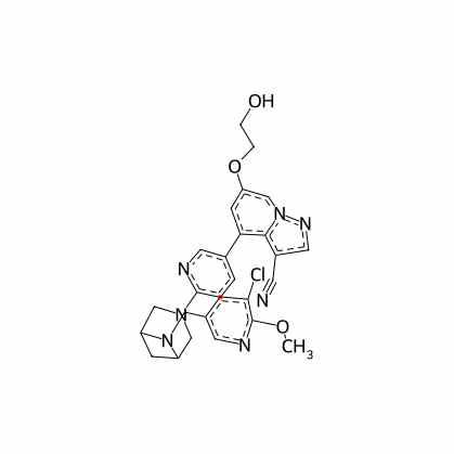 COc1ncc(CN2C3CC2CN(c2ccc(-c4cc(OCCO)cn5ncc(C#N)c45)cn2)C3)cc1Cl